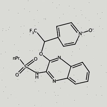 CCCS(=O)(=O)Nc1nc2ccccc2nc1OC(c1cc[n+]([O-])cc1)C(F)(F)F